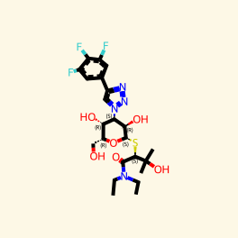 CCN(CC)C(=O)[C@@H](S[C@@H]1O[C@H](CO)[C@H](O)[C@H](n2cc(-c3cc(F)c(F)c(F)c3)nn2)[C@H]1O)C(C)(C)O